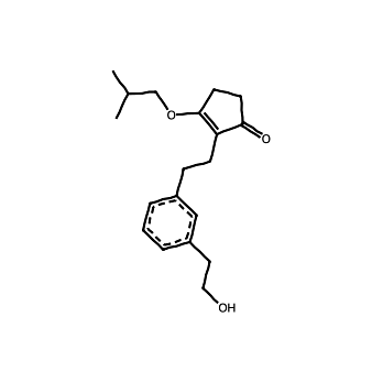 CC(C)COC1=C(CCc2cccc(CCO)c2)C(=O)CC1